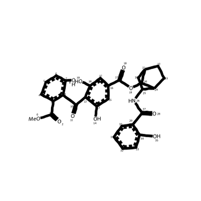 COC(=O)c1cccc(O)c1C(=O)c1c(O)cc(C(=O)OC2C3CCC2C(NC(=O)c2ccccc2O)C3)cc1O